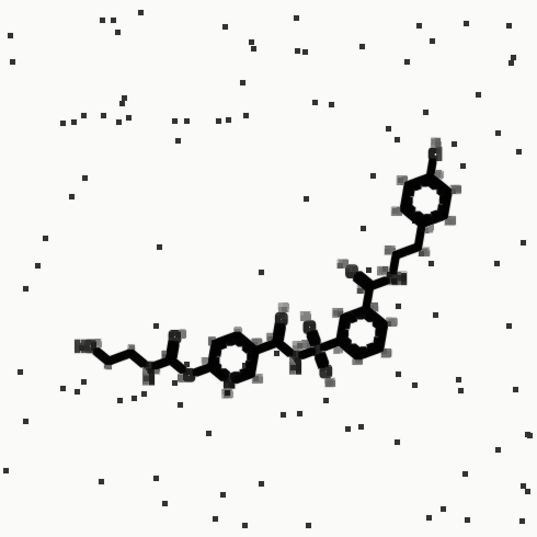 O=C(NCCO)Oc1ccc(C(=O)NS(=O)(=O)c2cccc(C(=O)NCCc3ccc(Cl)cc3)c2)cn1